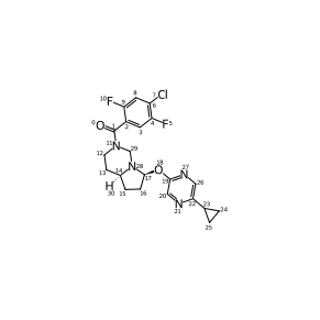 O=C(c1cc(F)c(Cl)cc1F)N1CC[C@@H]2CC[C@H](Oc3cnc(C4CC4)cn3)N2C1